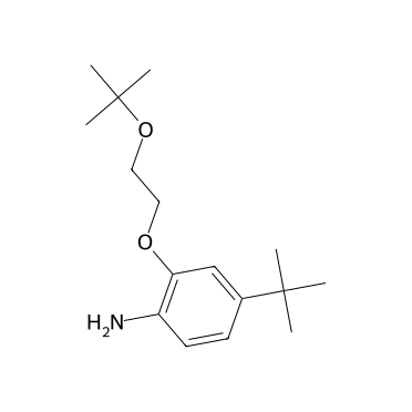 CC(C)(C)OCCOc1cc(C(C)(C)C)ccc1N